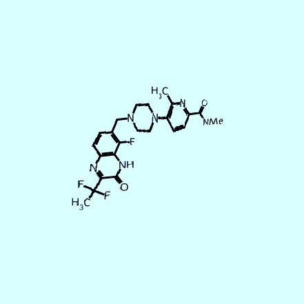 CNC(=O)c1ccc(N2CCN(Cc3ccc4nc(C(C)(F)F)c(=O)[nH]c4c3F)CC2)c(C)n1